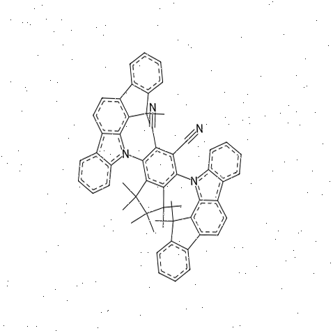 CC1(C)c2ccccc2-c2ccc3c4ccccc4n(-c4c(C#N)c(C#N)c(-n5c6ccccc6c6ccc7c(c65)C(C)(C)c5ccccc5-7)c5c4C(C)(C)C(C)(C)C5(C)C)c3c21